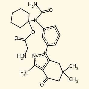 CC1(C)CC(=O)c2c(C(F)(F)F)nn(-c3cccc(N(C(N)=O)C4(OC(=O)CN)CCCCC4)c3)c2C1